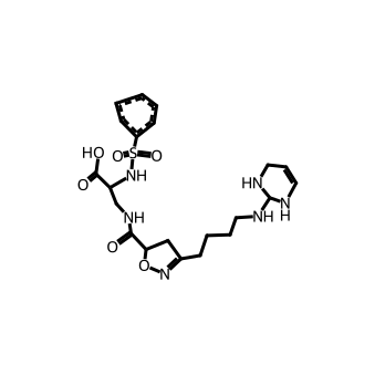 O=C(O)C(CNC(=O)C1CC(CCCCNC2NC=CCN2)=NO1)NS(=O)(=O)c1ccccc1